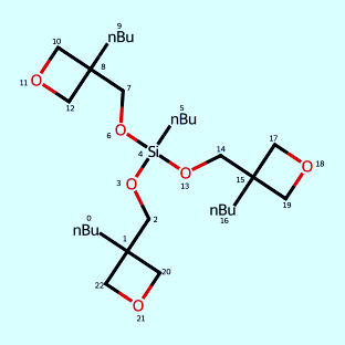 CCCCC1(CO[Si](CCCC)(OCC2(CCCC)COC2)OCC2(CCCC)COC2)COC1